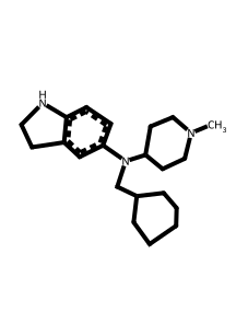 CN1CCC(N(CC2CCCCC2)c2ccc3c(c2)CCN3)CC1